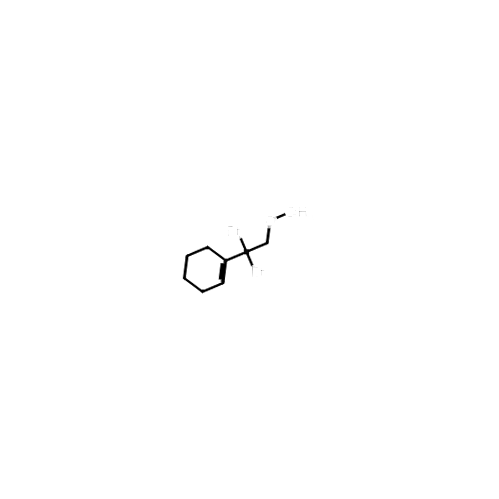 CCC(CC)(CO[SiH3])C1=CCCCC1